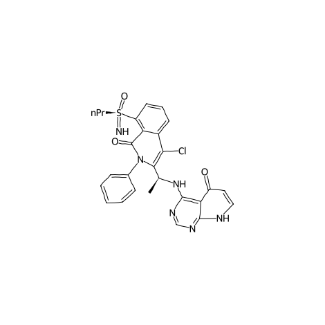 CCC[S@@](=N)(=O)c1cccc2c(Cl)c([C@H](C)Nc3ncnc4[nH]ccc(=O)c34)n(-c3ccccc3)c(=O)c12